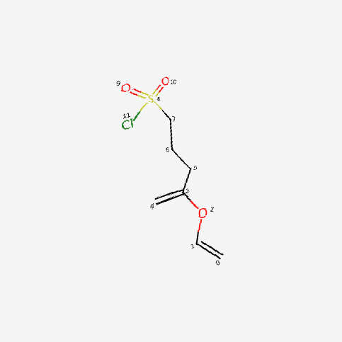 C=COC(=C)CCCS(=O)(=O)Cl